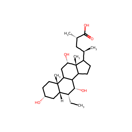 CC[C@H]1[C@@H](O)C2C3CCC([C@H](C)C[C@H](C)C(=O)O)[C@@]3(C)[C@@H](O)CC2[C@@]2(C)CC[C@@H](O)C[C@@H]12